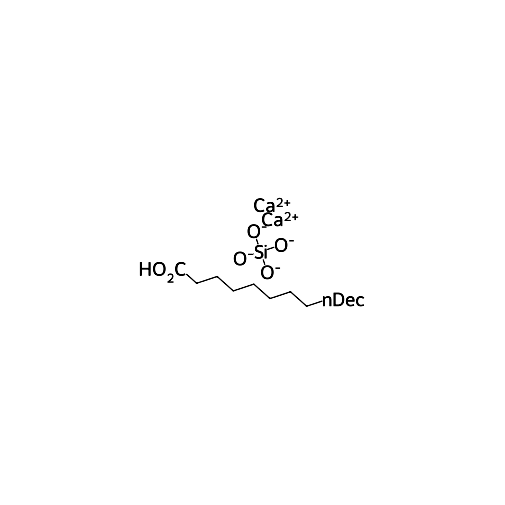 CCCCCCCCCCCCCCCCCC(=O)O.[Ca+2].[Ca+2].[O-][Si]([O-])([O-])[O-]